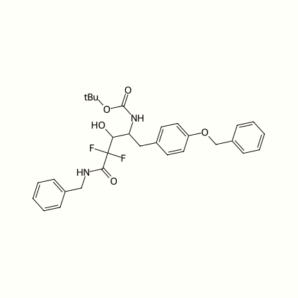 CC(C)(C)OC(=O)NC(Cc1ccc(OCc2ccccc2)cc1)C(O)C(F)(F)C(=O)NCc1ccccc1